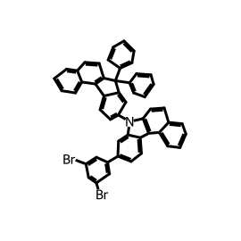 Brc1cc(Br)cc(-c2ccc3c4c5ccccc5ccc4n(-c4ccc5c(c4)C(c4ccccc4)(c4ccccc4)c4ccc6ccccc6c4-5)c3c2)c1